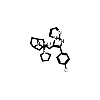 O=C(N1CCCC1)N1C2CCC1CN(Cc1c(-c3ccc(Cl)cc3)nc3ncccn13)C2